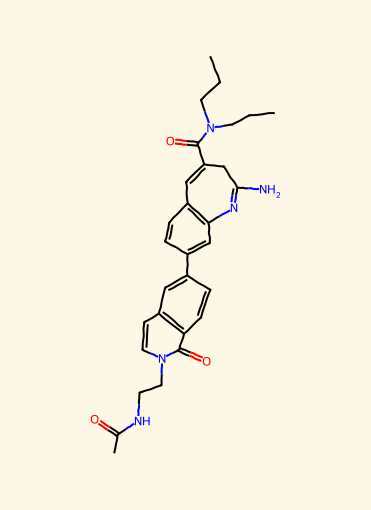 CCCN(CCC)C(=O)C1=Cc2ccc(-c3ccc4c(=O)n(CCNC(C)=O)ccc4c3)cc2N=C(N)C1